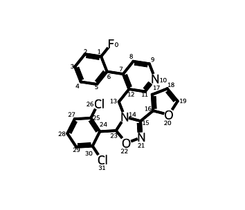 Fc1ccccc1-c1ccncc1CN1C(c2ccco2)=NOC1c1c(Cl)cccc1Cl